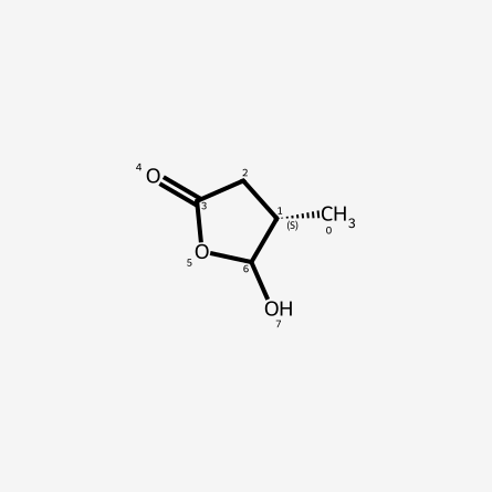 C[C@H]1CC(=O)OC1O